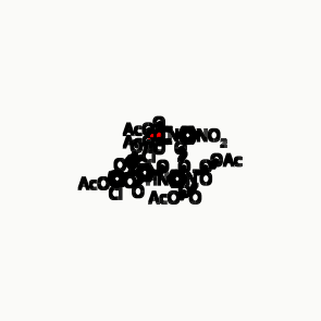 CC(=O)OCOC(=O)CN(CC(=O)OCOC(C)=O)c1ccc(NC(=O)c2ccc3c(c2)C(=O)OC32c3cc(Cl)c(OC(C)=O)cc3Oc3cc(OC(C)=O)c(Cl)cc32)cc1OCCOc1cc([N+](=O)[O-])ccc1N(CC(=O)OCOC(C)=O)CC(=O)OCOC(C)=O